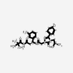 CC(C)(N)C(=O)NC(=O)C[C@H](NC(=O)Cn1nc(-c2ccc(Cl)cc2)n(C[C@H](O)C(F)(F)F)c1=O)c1cccc(C(F)(F)F)c1